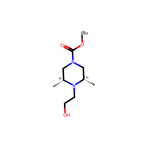 C[C@@H]1CN(C(=O)OC(C)(C)C)C[C@H](C)N1CCO